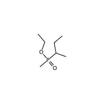 CCOP(C)(=O)C(C)CC